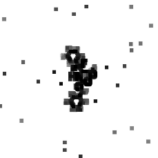 O=C(N[C@@H]([C@@H]1CO1)C(F)(F)c1ccccc1)OCc1ccccc1